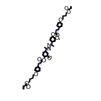 C=CC(=O)OCCCCOc1ccc(/C=C/C(=O)Oc2ccc(/C(C)=N/N=C(\C)c3ccc(OC(=O)/C=C/c4ccc(OCCCCOC(=O)C=C)cc4)c(OC)c3)cc2OC)cc1